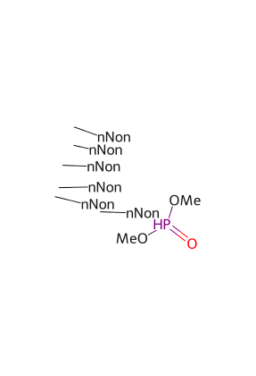 CCCCCCCCCC.CCCCCCCCCC.CCCCCCCCCC.CCCCCCCCCC.CCCCCCCCCC.CCCCCCCCCC.CO[PH](=O)OC